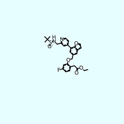 CCOC(=O)Cc1ccc(F)cc1OCc1cc(-c2ccnc(CN[S+]([O-])C(C)(C)C)c2)c2occc2c1